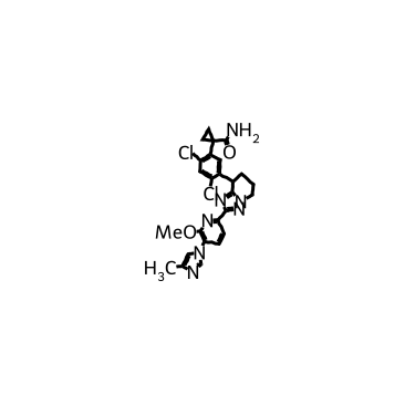 COc1nc(-c2nc3n(n2)CCCC3c2cc(C3(C(N)=O)CC3)c(Cl)cc2Cl)ccc1-n1cnc(C)c1